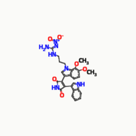 COc1ccc2c(C3=C(c4c[nH]c5ccccc45)C(=O)NC3=O)cn(CCCNC(N)=N[N+](=O)[O-])c2c1OC